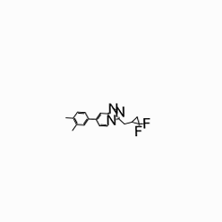 Cc1ccc(-c2ccn3c(CC4CC4(F)F)nnc3c2)cc1C